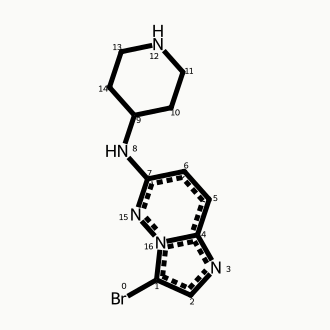 Brc1cnc2ccc(NC3CCNCC3)nn12